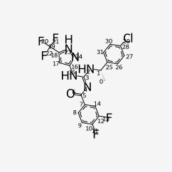 C[C@H](N/C(=N/C(=O)c1ccc(F)c(F)c1)Nc1cc(C(F)(F)F)[nH]n1)c1ccc(Cl)cc1